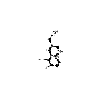 OCc1cnc2ccc(F)c(F)c2c1